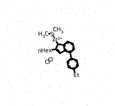 CCCCCCC1=Cc2c(-c3ccc(CC)cc3)cccc2[CH]1[Zr+2][Si](C)C.[Cl-].[Cl-]